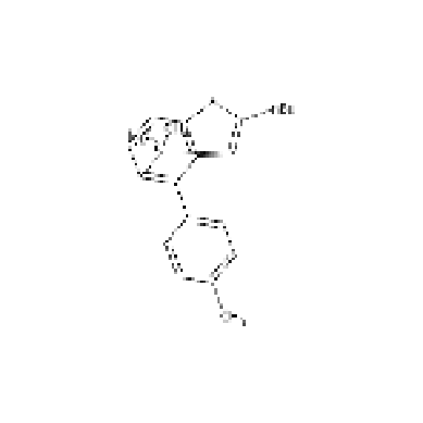 CCCCC1=C2c3c(ccc(c3-c3ccc(C)cc3)[Si]2(C)C)[CH]1